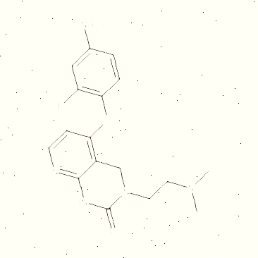 CN(C)CCN1Cc2c(Oc3ccc(N)cc3F)ccnc2NC1=O